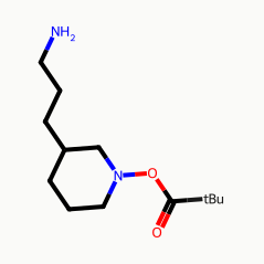 CC(C)(C)C(=O)ON1CCCC(CCCN)C1